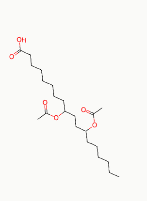 CCCCCCC(CCC(CCCCCCCC(=O)O)OC(C)=O)OC(C)=O